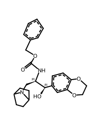 O=C(N[C@H](CN1C2CCC1CC2)[C@H](O)c1ccc2c(c1)OCCO2)OCc1ccccc1